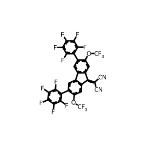 N#CC(C#N)=C1c2cc(OC(F)(F)F)c(-c3c(F)c(F)c(F)c(F)c3F)cc2-c2cc(-c3c(F)c(F)c(F)c(F)c3F)c(OC(F)(F)F)cc21